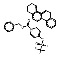 C1=c2c(ccc3c2=CCc2ccccc2-3)CCC1.O=C(OCc1ccccc1)N1C=CC(OS(=O)(=O)C(F)(F)F)=CC1